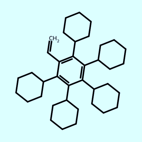 C=Cc1c(C2CCCCC2)c(C2CCCCC2)c(C2CCCCC2)c(C2CCCCC2)c1C1CCCCC1